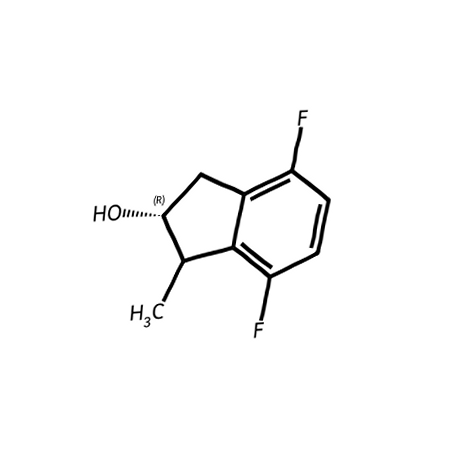 CC1c2c(F)ccc(F)c2C[C@H]1O